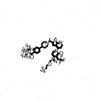 [2H]C([2H])([2H])N(C(=O)c1ccc(C2CCN([C@@H](C)c3cc4c(-n5ccc6c(c(C(F)(F)F)nn6COCC[Si](C)(C)C)c5=O)ccnc4n3C)CC2)cc1)C([2H])([2H])[2H]